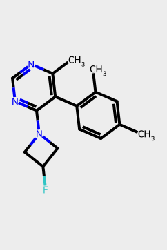 Cc1ccc(-c2c(C)ncnc2N2CC(F)C2)c(C)c1